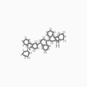 c1ccc(-n2c3ccccc3c3cc(-c4ccc(-c5cc6[nH]c7ccccc7c6c6ccccc56)c5ccccc45)ccc32)cc1